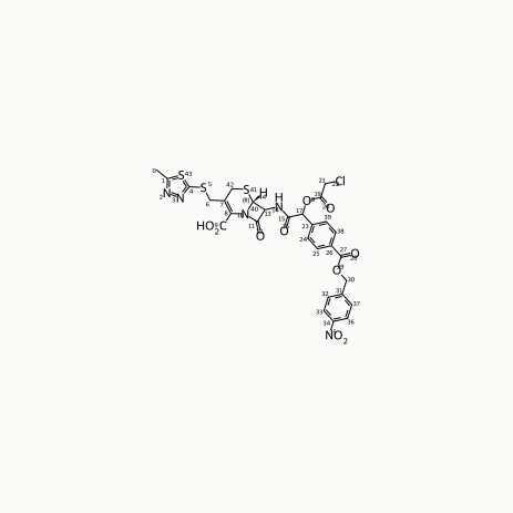 Cc1nnc(SCC2=C(C(=O)O)N3C(=O)C(NC(=O)C(OC(=O)CCl)c4ccc(C(=O)OCc5ccc([N+](=O)[O-])cc5)cc4)[C@H]3SC2)s1